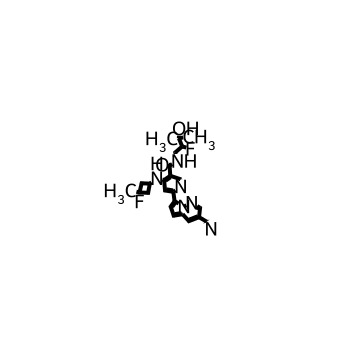 CC1(F)CC(Nc2cc(-c3ccc4cc(C#N)cnn34)ncc2C(=O)NCC(F)C(C)(C)O)C1